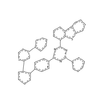 c1ccc(-c2cccc(-c3ccccc3-c3ccc(-c4nc(-c5ccccc5)nc(-c5cccc6c5sc5ccccc56)n4)cc3)c2)cc1